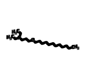 CCCCCCCCCCCCOCCCN(CC)CC